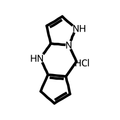 C1=CC2=C(C1)NC1C=CNN1C2.Cl